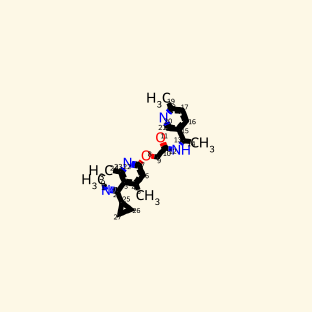 C/N=C(\c1c(C)cc(OCC(=O)NC(C)c2ccc(C)nc2)nc1C)C1CC1